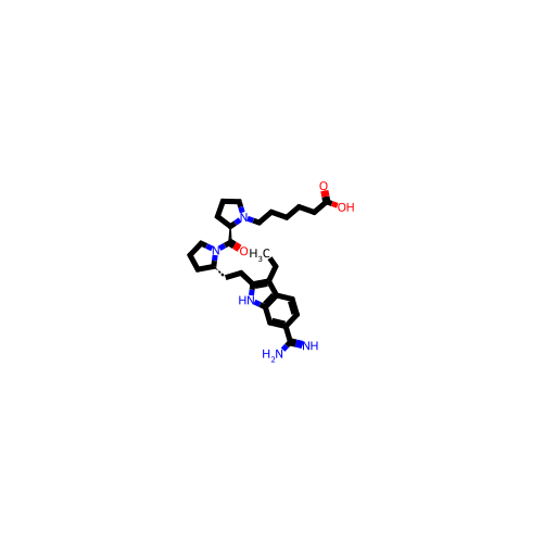 CCc1c(CC[C@@H]2CCCN2C(=O)[C@H]2CCCN2CCCCCC(=O)O)[nH]c2cc(C(=N)N)ccc12